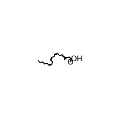 CCCCC/C=C\C/C=C\C/C=C\C/C=C1\CC1CC(=O)O